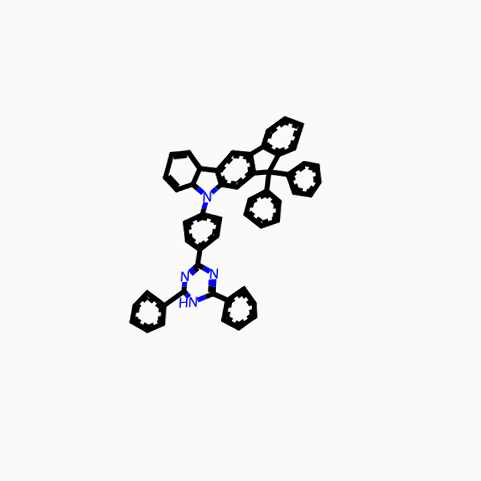 C1=CC2c3cc4c(cc3N(c3ccc(C5=NC(c6ccccc6)NC(c6ccccc6)=N5)cc3)C2C=C1)C(c1ccccc1)(c1ccccc1)c1ccccc1-4